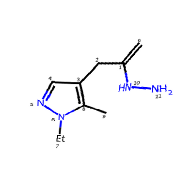 C=C(Cc1cnn(CC)c1C)NN